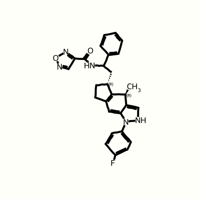 C[C@H]1C2=CNN(c3ccc(F)cc3)C2=CC2=C1[C@@H](CC(NC(=O)c1cnon1)c1ccccc1)CC2